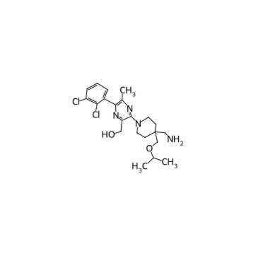 Cc1nc(N2CCC(CN)(COC(C)C)CC2)c(CO)nc1-c1cccc(Cl)c1Cl